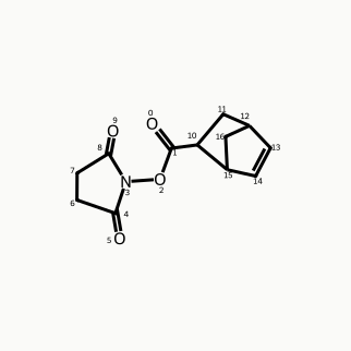 O=C(ON1C(=O)CCC1=O)C1CC2C=CC1C2